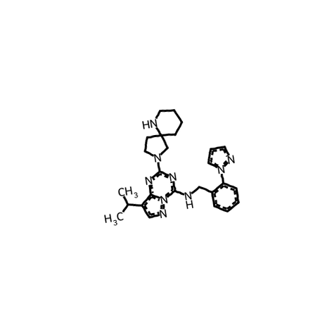 CC(C)c1cnn2c(NCc3ccccc3-n3cccn3)nc(N3CCC4(CCCCN4)C3)nc12